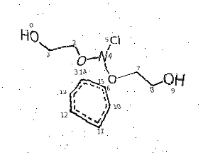 OCCON(Cl)OCCO.c1ccccc1